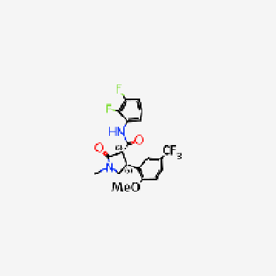 COc1ccc(C(F)(F)F)cc1[C@H]1CN(C)C(=O)[C@@H]1C(=O)Nc1cccc(F)c1F